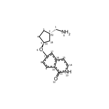 NC[C@H]1CC[C@H](Oc2ccc3c(=O)[nH]ccc3c2)C1